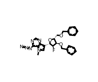 Cn1cc([C@@H]2O[C@H](COCc3ccccc3)[C@@H](OCc3ccccc3)[C@H]2F)c2ncnc(N=[N+]=[N-])c21